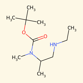 CCNCC(C)N(C)C(=O)OC(C)(C)C